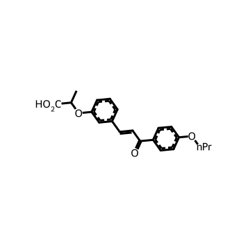 CCCOc1ccc(C(=O)/C=C/c2cccc(OC(C)C(=O)O)c2)cc1